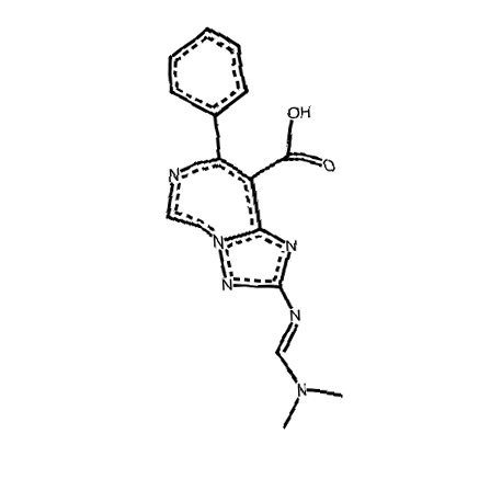 CN(C)C=Nc1nc2c(C(=O)O)c(-c3ccccc3)ncn2n1